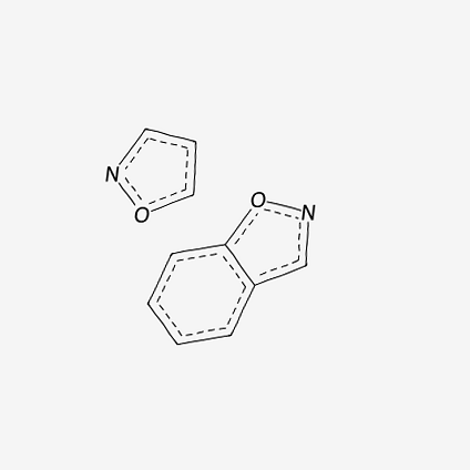 c1ccc2oncc2c1.c1cnoc1